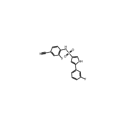 N#Cc1ccc(NS(=O)(=O)c2c[nH]c(-c3cccc(F)c3)c2)c(F)c1